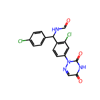 O=CNC(c1ccc(Cl)cc1)c1ccc(-n2ncc(=O)[nH]c2=O)cc1Cl